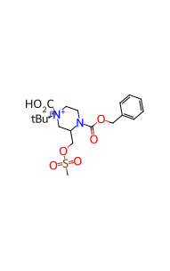 CC(C)(C)[N@@+]1(C(=O)O)CCN(C(=O)OCc2ccccc2)C(COS(C)(=O)=O)C1